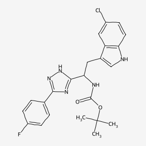 CC(C)(C)OC(=O)NC(Cc1c[nH]c2ccc(Cl)cc12)c1nc(-c2ccc(F)cc2)n[nH]1